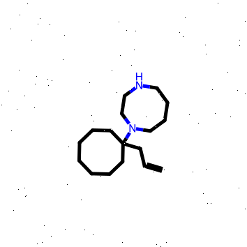 C=CCC1(N2CCCCNCC2)CCCCCCC1